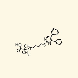 CC(C)(CCCCCCSc1ncc(-c2ccccc2)c(-c2ccccc2)n1)C(=O)O